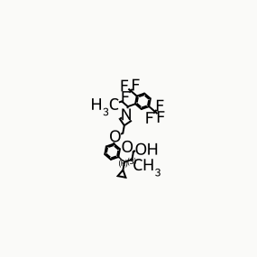 CCC(c1cc(C(F)(F)F)ccc1C(F)(F)F)N1CC(COc2cccc([C@H](C3CC3)[C@H](C)C(=O)O)c2)C1